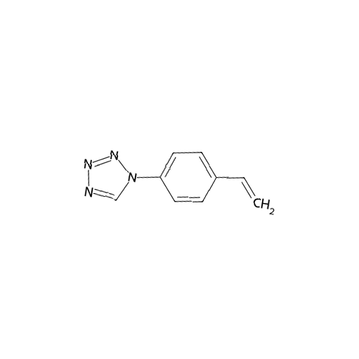 C=Cc1ccc(-n2cnnn2)cc1